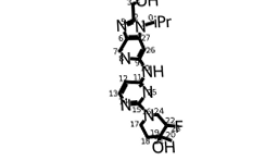 CC(C)n1c(CO)nc2cnc(Nc3ccnc(N4CCC(C)(O)C(F)C4)n3)cc21